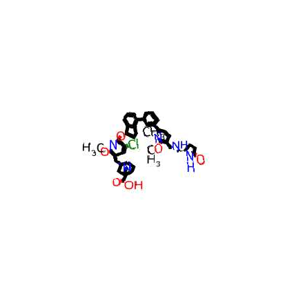 COc1nc(-c2cccc(-c3cccc4c3CC[C@@H]4Oc3nc(OC)c(CN4CC5(C(=O)O)CCC4CC5)cc3Cl)c2C)ccc1CNC[C@@H]1CCC(=O)N1